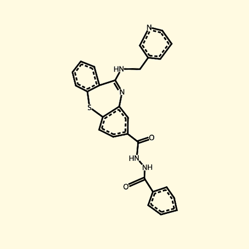 O=C(NNC(=O)c1ccc2c(c1)N=C(NCc1cccnc1)c1ccccc1S2)c1ccccc1